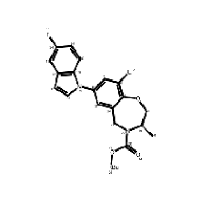 C[C@@H]1COc2c(Cl)cc(-n3ccc4cc(F)ccc43)cc2CN1C(=O)OC(C)(C)C